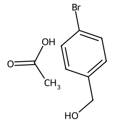 CC(=O)O.OCc1ccc(Br)cc1